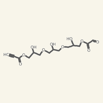 C#CC(=O)OCC(O)COCC(O)COCC(O)COC(=O)C=O